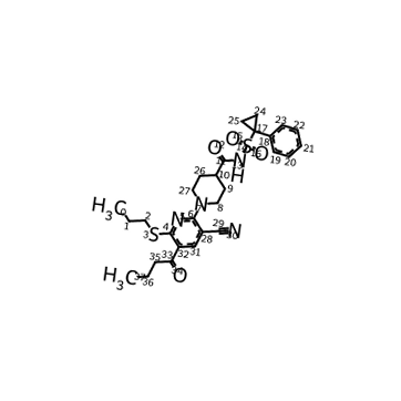 CCCSc1nc(N2CCC(C(=O)NS(=O)(=O)C3(c4ccccc4)CC3)CC2)c(C#N)cc1C(=O)CCC